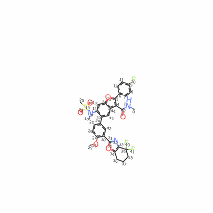 CNC(=O)c1c(-c2ccc(F)cc2)oc2cc(N(C)S(C)(=O)=O)c(-c3ccc(OC)c(-c4nc5c(o4)CCCC5(F)F)c3)cc12